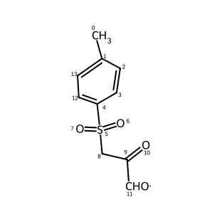 Cc1ccc(S(=O)(=O)CC(=O)[C]=O)cc1